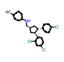 N#Cc1ccc(NC[C@H]2C[C@H](c3ccc(Cl)cc3)[C@@H](c3ccc(Cl)cc3Cl)C2)cc1